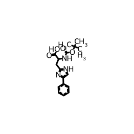 CC(C)(C)OC(=O)NC(Cc1nc(-c2ccccc2)c[nH]1)C(=O)O